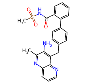 Cc1nc2cccnc2c(Cc2ccc(-c3ccccc3C(=O)NS(C)(=O)=O)cc2)c1N